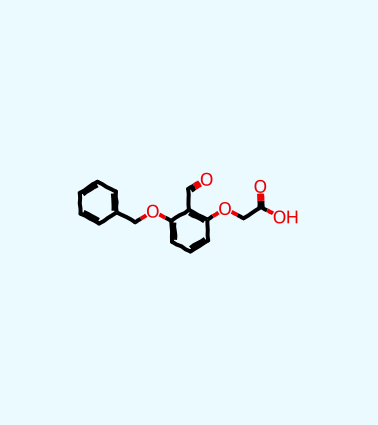 O=Cc1c(OCC(=O)O)cccc1OCc1ccccc1